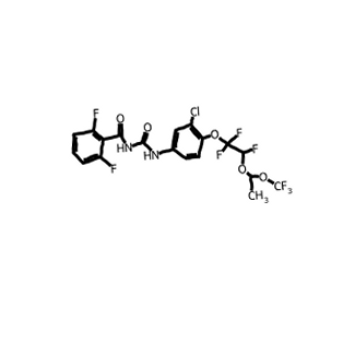 CC(OC(F)C(F)(F)Oc1ccc(NC(=O)NC(=O)c2c(F)cccc2F)cc1Cl)OC(F)(F)F